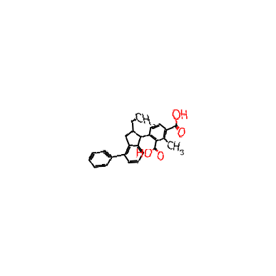 CCC1Cc2c(-c3ccccc3)cccc2C1c1ccc(C(=O)O)c(C)c1C(=O)O